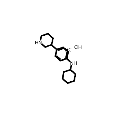 Cl.Cl.c1cc(C2CCCNC2)ccc1NC1CCCCC1